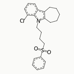 O=S(=O)(CCCCn1c2c(c3cccc(Cl)c31)CCCCC2)c1ccccc1